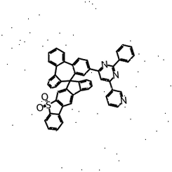 O=S1(=O)c2ccccc2-c2cc3c(cc21)C1(c2ccccc2-c2ccccc2-c2ccc(-c4cc(-c5cccnc5)nc(-c5ccccc5)n4)cc21)c1ccccc1-3